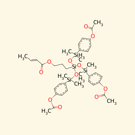 CC=CC(=O)OCCC[Si](O[Si](C)(C)c1ccc(OC(C)=O)cc1)(O[Si](C)(C)c1ccc(OC(C)=O)cc1)O[Si](C)(C)c1ccc(OC(C)=O)cc1